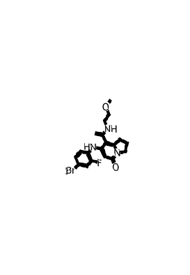 C=C(NCCOC)c1c(Nc2ccc(Br)cc2F)cc(=O)n2c1CCC2